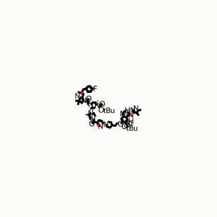 Cc1n[nH]c(Nc2ncnc3cc(OCCC4CCN(c5ccc(C(=O)N6CCN(C[C@H]7CN(C(=O)OC(C)(C)C)[C@@H](C)CN7CC(=O)N7CC(C)(C)c8ncc(Cc9ccc(F)cc9)cc87)[C@H](C)C6)cn5)CC4)c(S(=O)(=O)C(C)(C)C)cc23)c1C